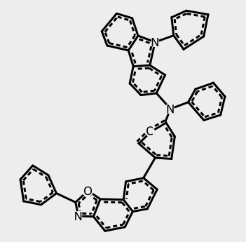 c1ccc(-c2nc3ccc4ccc(-c5ccc(N(c6ccccc6)c6ccc7c8ccccc8n(-c8ccccc8)c7c6)cc5)cc4c3o2)cc1